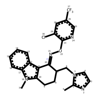 Cc1nccn1CC1CCc2c(c3ccccc3n2C)/C1=N/Oc1ncc(C(F)(F)F)cc1Cl